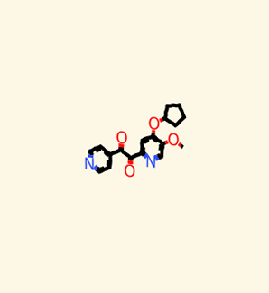 COc1cnc(C(=O)C(=O)c2ccncc2)cc1OC1CCCC1